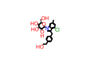 Cc1cc(Cl)c2c(Cc3ccc(CCO)cc3)cn([C@@H]3O[C@H](CO)[C@@H](O)[C@H](O)[C@H]3O)c2c1